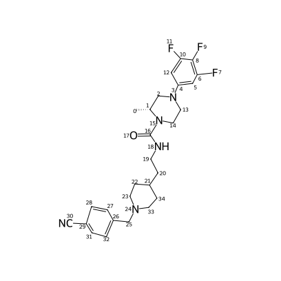 C[C@@H]1CN(c2cc(F)c(F)c(F)c2)CCN1C(=O)NCCC1CCN(Cc2ccc(C#N)cc2)CC1